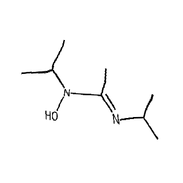 C/C(=N\C(C)C)N(O)C(C)C